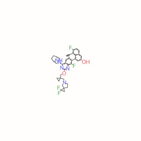 C#Cc1c(F)ccc2cc(O)cc(-c3c(C)cc4c(N5CC6CCC(C5)N6)nc(OCC5(CN6CCC7(C6)CC7(F)F)CC5)nc4c3F)c12